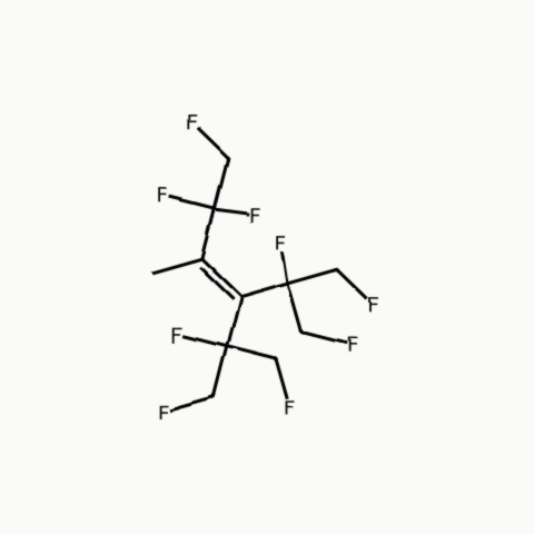 CC(=C(C(F)(CF)CF)C(F)(CF)CF)C(F)(F)CF